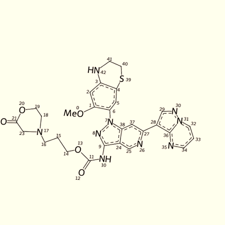 COc1cc2c(cc1-n1nc(NC(=O)OCCCN3CCOC(=O)C3)c3cnc(-c4cnn5cccnc45)cc31)SCCN2